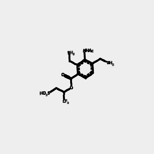 BCc1ccc(C(=O)OC(CS(=O)(=O)O)C(F)(F)F)c(CB)c1NC(C)=O